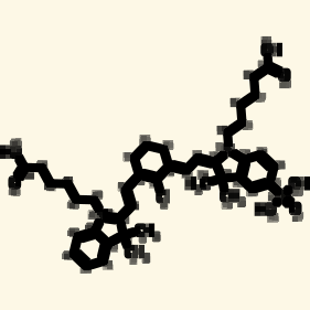 CC1(C)C(/C=C/C2=C(Cl)C(=C/C=C3/N(CCCCCC(=O)O)c4ccc(P(=O)(O)O)cc4C3(C)C)/CCC2)=[N+](CCCCCC(=O)O)c2ccccc21